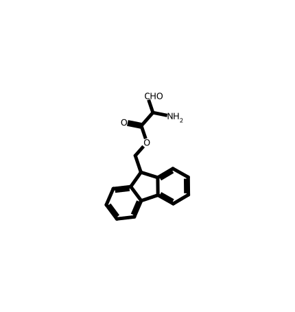 NC(C=O)C(=O)OCC1c2ccccc2-c2ccccc21